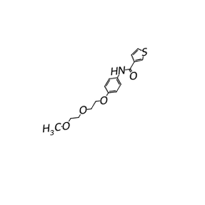 COCCOCCOc1ccc(NC(=O)c2ccsc2)cc1